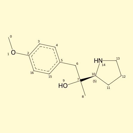 COc1ccc(CC(C)(O)[C@@H]2CCCN2)cc1